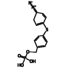 [N-]=[N+]=C1C=CC(Sc2ccc(COP(=O)(O)O)cc2)=CC1